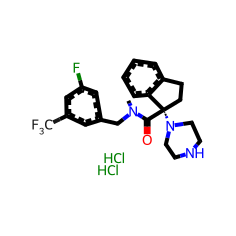 CN(Cc1cc(F)cc(C(F)(F)F)c1)C(=O)[C@]1(N2CCNCC2)CCc2ccccc21.Cl.Cl